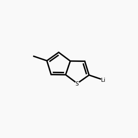 [Li][C]1=CC2C=C(C)C=C2S1